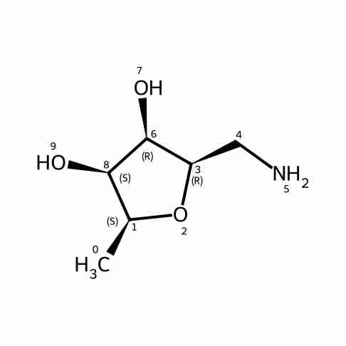 C[C@@H]1O[C@H](CN)[C@H](O)[C@@H]1O